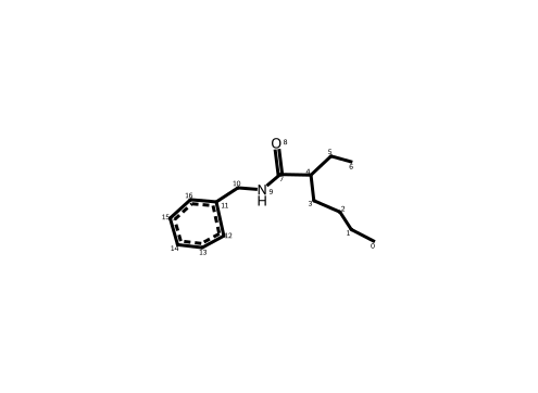 CCCCC(CC)C(=O)NCc1ccccc1